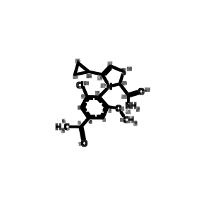 COc1cc(C(C)=O)cc(Cl)c1N1C(C2CC2)=CSC1C(N)=O